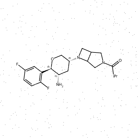 CC(C)C(=O)N1CC2CN([C@H]3CO[C@H](c4cc(F)ccc4F)[C@@H](N)C3)C2C1